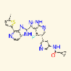 Cc1ccc(-c2nccc3[nH]c(-c4n[nH]c5ncc(-c6cncc(NC(=O)C7CC7)c6)c(F)c45)nc23)s1